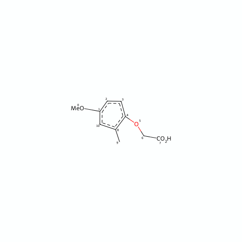 COc1ccc(OCC(=O)O)c(C)c1